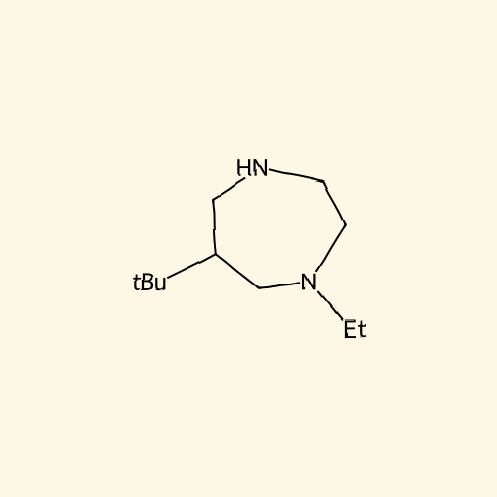 CCN1CCNCC(C(C)(C)C)C1